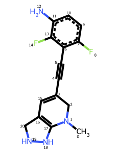 CN1CC(C#Cc2c(F)ccc(N)c2F)=CC2=C1NNC2